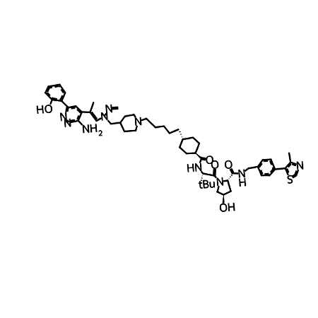 C=NN(/C=C(\C)c1cc(-c2ccccc2O)nnc1N)CC1CCN(CCCCC[C@H]2CC[C@H](C(=O)N[C@H](C(=O)N3C[C@H](O)C[C@H]3C(=O)NCc3ccc(-c4scnc4C)cc3)C(C)(C)C)CC2)CC1